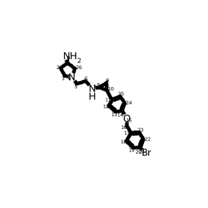 NC1CCN(CCNC2CC2c2ccc(OCc3ccc(Br)cc3)cc2)C1